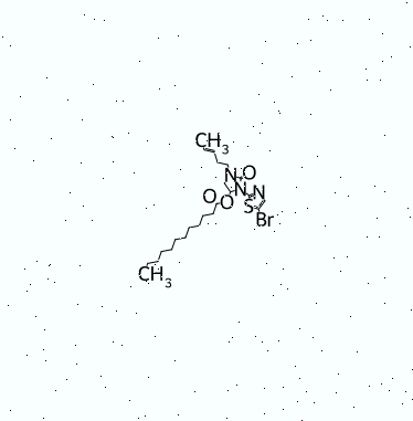 CC=CCCN1CC(OC(=O)CCCCCCCCCCC)N(c2ncc(Br)s2)C1=O